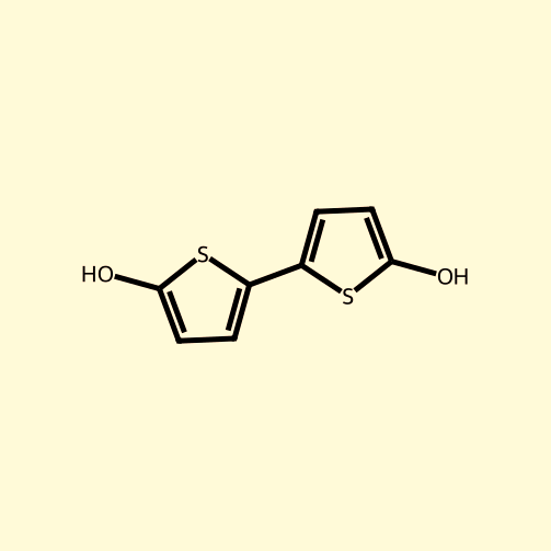 Oc1ccc(-c2ccc(O)s2)s1